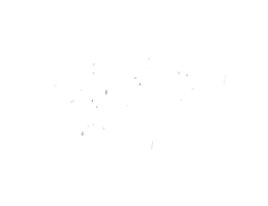 COC(=O)Oc1c(CNC(=O)c2cccc(OC)c2)c(=O)c2ccc(Cl)cc2n1-c1ccccc1